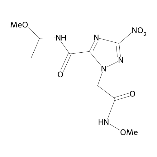 CONC(=O)Cn1nc([N+](=O)[O-])nc1C(=O)NC(C)OC